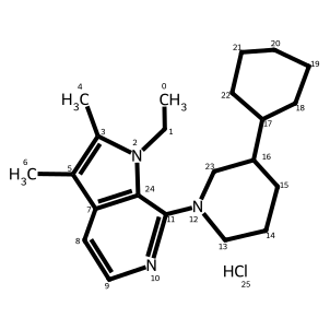 CCn1c(C)c(C)c2ccnc(N3CCCC(C4CCCCC4)C3)c21.Cl